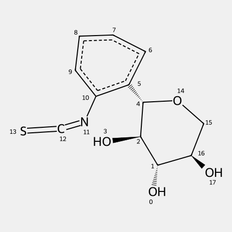 O[C@@H]1[C@@H](O)[C@H](c2ccccc2N=C=S)OC[C@H]1O